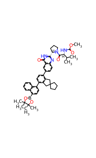 COC(=O)N[C@@H](C(=O)N1CCC[C@H]1c1nc2ccc(-c3ccc(-c4ccc(B5OC(C)(C)C(C)(C)O5)c5ccccc45)c4c3CC3(CCCC3)C4)cc2c(=O)[nH]1)C(C)C